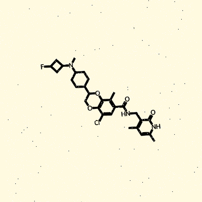 Cc1cc(C)c(CNC(=O)c2cc(Cl)c3c(c2C)OC(C2CCC(N(C)C4CC(F)C4)CC2)CO3)c(=O)[nH]1